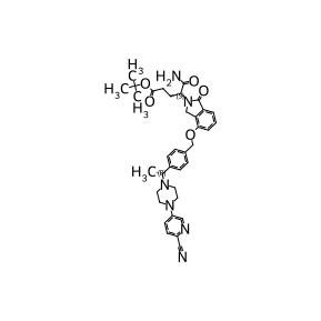 C[C@H](c1ccc(COc2cccc3c2CN([C@@H](CCC(=O)OC(C)(C)C)C(N)=O)C3=O)cc1)N1CCN(c2ccc(C#N)nc2)CC1